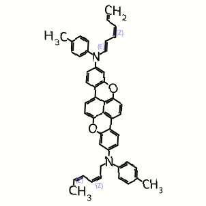 C=C/C=C\C=C\N(c1ccc(C)cc1)c1ccc2c(c1)Oc1ccc3c4c(ccc-2c14)Oc1cc(N(C/C=C\C=C/C)c2ccc(C)cc2)ccc1-3